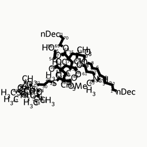 CCCCCCCCCCCCCCCCCCOC(=O)C(C)(C)CC(C)(CC(C)(CC(C)(CC(C)(CSCCC[Si](C)(O[Si](C)(C)C)O[Si](C)(C)O[Si](C)(C)C)C(=O)OC)C(=O)OCCO)C(=O)OCCCN(C)C)C(=O)OCCCCCCCCCCCC